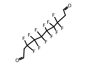 O=CCC(F)(F)C(F)(F)C(F)(F)C(F)(F)C(F)(F)C(F)(F)CC=O